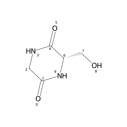 O=C1CNC(=O)[C@H](CO)N1